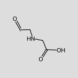 O=[C]CNCC(=O)O